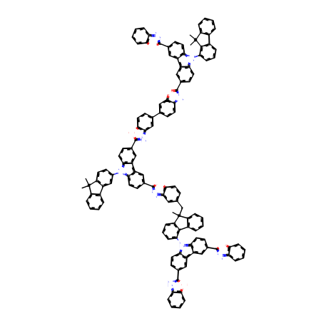 CC1(C)c2ccccc2-c2cc(-n3c4ccc(-c5nc6cc(CC7(C)c8ccccc8-c8c(-n9c%10ccc(-c%11nc%12ccccc%12o%11)cc%10c%10cc(-c%11nc%12ccccc%12o%11)ccc%109)cccc87)ccc6o5)cc4c4cc(-c5nc6cc(-c7ccc8nc(-c9ccc%10c(c9)c9cc(-c%11nc%12ccccc%12o%11)ccc9n%10-c9cccc%10c9C(C)(C)c9ccccc9-%10)oc8c7)ccc6o5)ccc43)ccc21